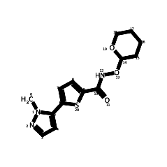 Cn1nccc1-c1ccc(C(=O)NOC2CCCCO2)s1